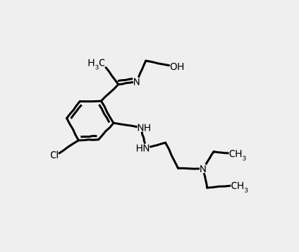 CCN(CC)CCNNc1cc(Cl)ccc1/C(C)=N/CO